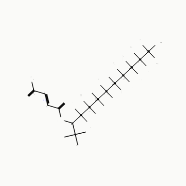 CC(C)(C)C(OC(=O)/C=C/C(=O)O)C(F)(F)C(F)(F)C(F)(F)C(F)(F)C(F)(F)C(F)(F)C(F)(F)C(F)(F)C(F)(F)F